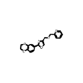 c1ccc(COCc2coc(-c3ccc4c(c3)OCCO4)n2)nc1